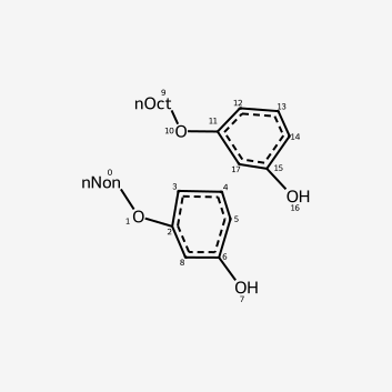 CCCCCCCCCOc1cccc(O)c1.CCCCCCCCOc1cccc(O)c1